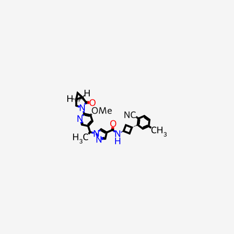 COc1cc(C(C)n2cc(C(=O)N[C@H]3C[C@@H](c4cc(C)ccc4C#N)C3)cn2)cnc1N1C[C@H]2C[C@H]2C1=O